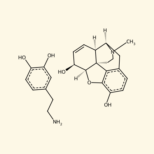 CN1CC[C@]23c4c5ccc(O)c4O[C@H]2[C@@H](O)C=C[C@H]3[C@H]1C5.NCCc1ccc(O)c(O)c1